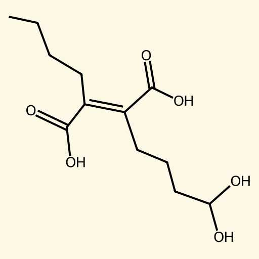 CCCCC(C(=O)O)=C(CCCC(O)O)C(=O)O